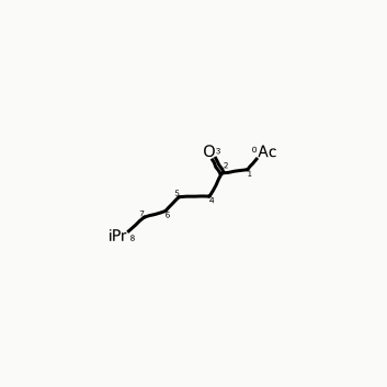 CC(=O)CC(=O)CCCCC(C)C